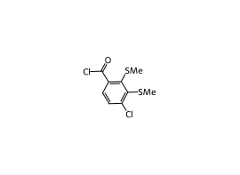 CSc1c(Cl)ccc(C(=O)Cl)c1SC